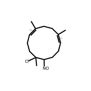 C/C1=C/CCC(N=O)C(C)(Cl)CC/C=C(/C)CC1